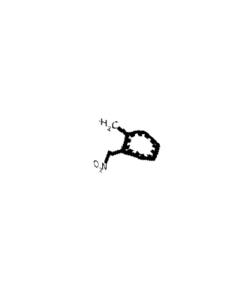 [CH2]c1ccccc1C[N+](=O)[O-]